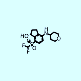 O=S(=O)(c1ccc(NC2CCOCC2)c2c1[C@H](O)CC2)C(F)F